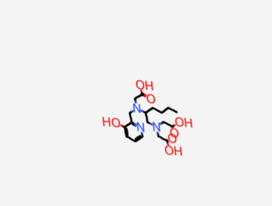 CCCCC(CN(CC(=O)O)CC(=O)O)N(CC(=O)O)Cc1ncccc1O